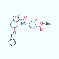 Cc1oc2ccc(OCc3ccccc3)cc2c1C(=O)NC1CCN(C(=O)OC(C)(C)C)C(C)C1